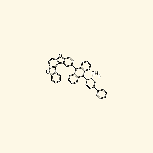 CC1C=C(c2ccccc2)C=CC1c1c2ccccc2c(-c2ccc3oc4ccc5oc6ccccc6c5c4c3c2)c2ccccc12